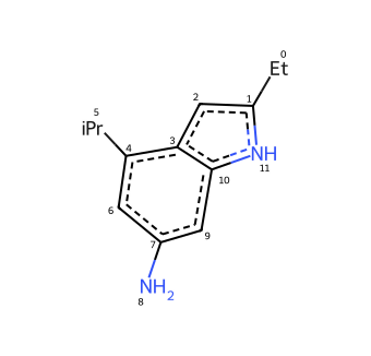 CCc1cc2c(C(C)C)cc(N)cc2[nH]1